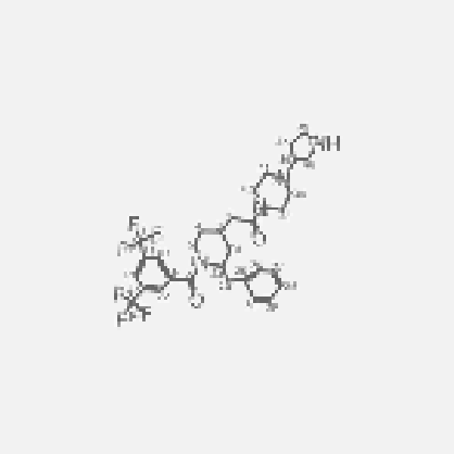 O=C(CC1CCN(C(=O)c2cc(C(F)(F)F)cc(C(F)(F)F)c2)C(Cc2ccccc2)C1)N1CCN(C2CCNC2)CC1